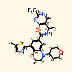 Cc1cnc(-c2cc(C(=O)NC(C)c3cnc(C(F)(F)F)nc3)cc3c2OCCN3C2CCOCC2)s1